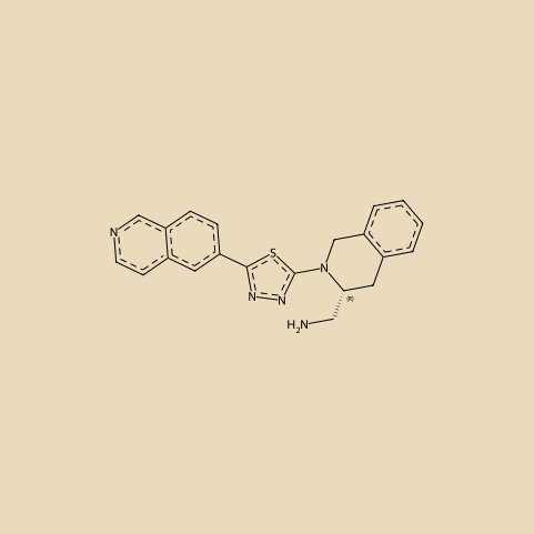 NC[C@H]1Cc2ccccc2CN1c1nnc(-c2ccc3cnccc3c2)s1